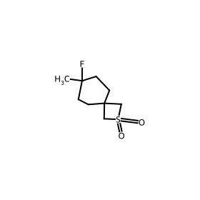 CC1(F)CCC2(CC1)CS(=O)(=O)C2